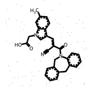 Cc1ccc2c(/C=C(\C#N)C(=O)N3Cc4ccccc4Cc4ccccc43)cn(CC(=O)O)c2c1